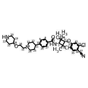 CC1(C)[C@H](NC(=O)c2ccc(C3CCN(CCOC4CCNCC4)CC3)cc2)C(C)(C)[C@H]1Oc1ccc(C#N)c(Cl)c1